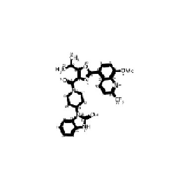 COc1ccc(-c2nc(C(=O)N3CCC(n4c(=O)[nH]c5ccccc54)CC3)c(C(C)N)o2)c2ccc(C(F)(F)F)nc12